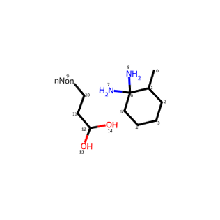 CC1CCCCC1(N)N.CCCCCCCCCCCC(O)O